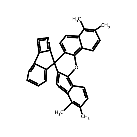 Cc1ccc2c3c(ccc2c1C)C1(c2ccccc2-c2ccccc21)c1ccc2c(C)c(C)ccc2c1O3